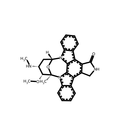 CN[C@@H]1C[C@H]2O[C@](C)([C@@H]1OC)n1c3ccccc3c3c4c(c5c6ccccc6n2c5c31)C(=O)NC4